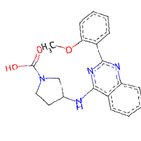 COc1ccccc1-c1nc(NC2CCN(C(=O)O)C2)c2ccccc2n1